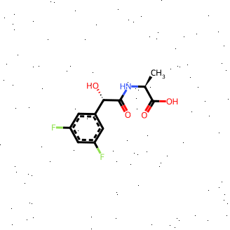 C[C@H](NC(=O)[C@@H](O)c1cc(F)cc(F)c1)C(=O)O